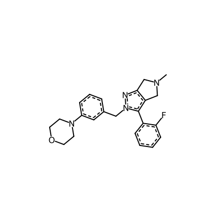 CN1Cc2nn(Cc3cccc(N4CCOCC4)c3)c(-c3ccccc3F)c2C1